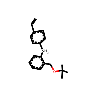 C=Cc1ccc([SiH2]c2ccccc2COC(C)(C)C)cc1